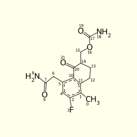 Cc1c(F)cc(CC(N)=O)c2c1CCC(COC(N)=O)C2=O